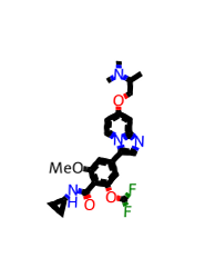 COc1cc(-c2cnc3cc(OCC(C)N(C)C)ccn23)cc(OC(F)F)c1C(=O)NC1CC1